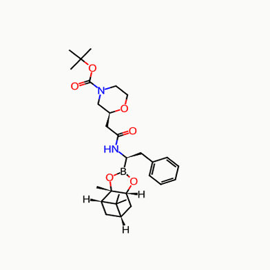 CC(C)(C)OC(=O)N1CCO[C@@H](CC(=O)N[C@@H](Cc2ccccc2)B2O[C@@H]3C[C@@H]4C[C@@H](C4(C)C)[C@]3(C)O2)C1